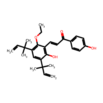 C=CC(C)(C)c1cc(C(C)(C)C=C)c(OCC)c(C=CC(=O)c2ccc(O)cc2)c1O